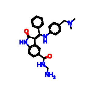 CN(C)Cc1ccc(NC(=C2C(=O)Nc3ccc(C(=O)NCN)cc32)c2ccccc2)cc1